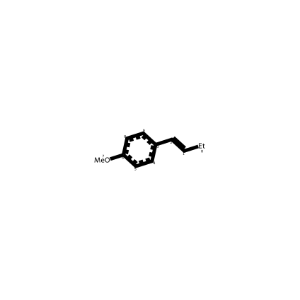 CCC=Cc1ccc(OC)cc1